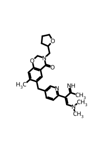 CC(=N)/C(=C\N(C)C)c1ccc(Cc2cc3c(cc2C)OCN(CC2CCCO2)C3=O)cn1